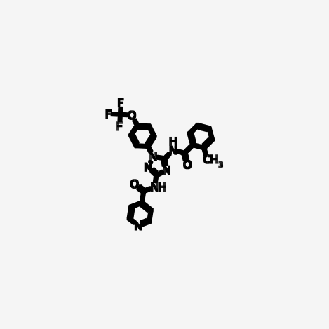 Cc1ccccc1C(=O)Nc1nc(NC(=O)c2ccncc2)nn1-c1ccc(OC(F)(F)F)cc1